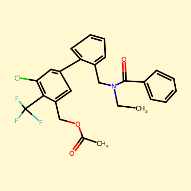 CCN(Cc1ccccc1-c1cc(Cl)c(C(F)(F)F)c(COC(C)=O)c1)C(=O)c1ccccc1